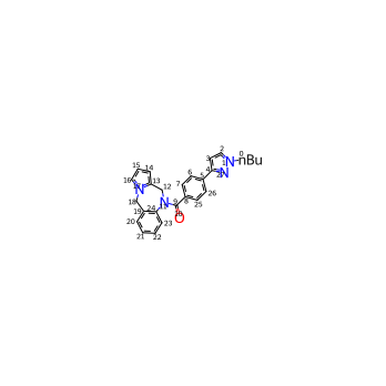 CCCCn1ccc(-c2ccc(C(=O)N3Cc4cccn4Cc4ccccc43)cc2)n1